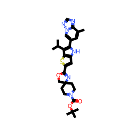 Cc1cc(-c2[nH]c3cc(C4=NC5(CCN(C(=O)OC(C)(C)C)CC5)CO4)sc3c2C(C)C)cn2ncnc12